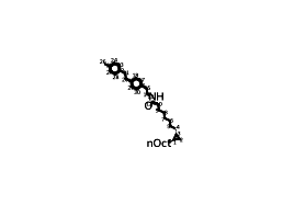 CCCCCCCC[C@H]1C[C@H]1CCCCCCCC(=O)NCCc1ccc(CCc2ccc(C)cc2)cc1